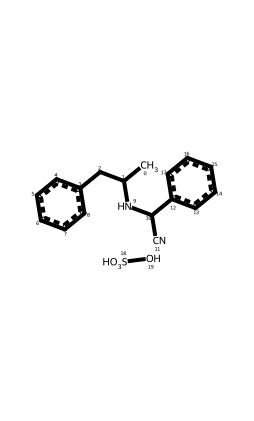 CC(Cc1ccccc1)NC(C#N)c1ccccc1.O=S(=O)(O)O